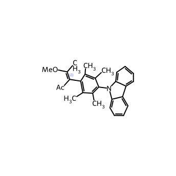 CO/C(C)=C(\C(C)=O)c1c(C)c(C)c(-n2c3ccccc3c3ccccc32)c(C)c1C